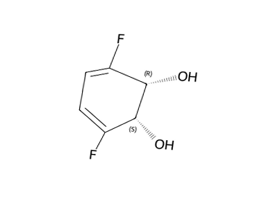 O[C@@H]1C(F)=CC=C(F)[C@@H]1O